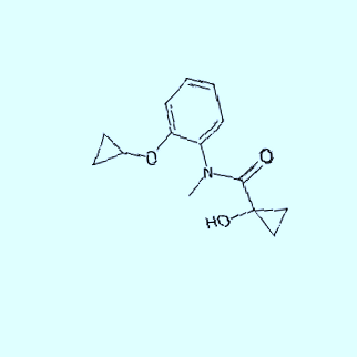 CN(C(=O)C1(O)CC1)c1ccccc1OC1CC1